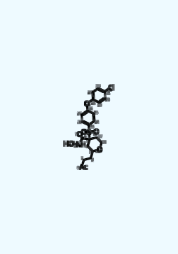 CC(=O)CCC1CC(C(=O)NO)(S(=O)(=O)c2ccc(Oc3ccc(Cl)cc3)cc2)CCO1